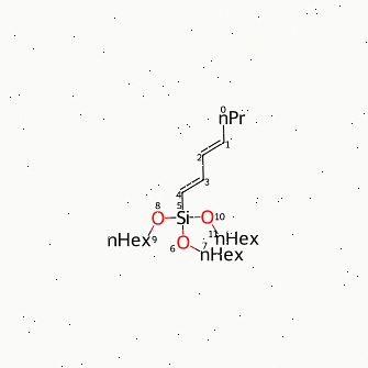 CCCC=CC=C[Si](OCCCCCC)(OCCCCCC)OCCCCCC